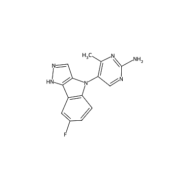 Cc1nc(N)ncc1-n1c2ccc(F)cc2c2[nH]ncc21